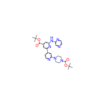 CC(C)(C)OC(=O)c1cc(Nc2cnccn2)nc(-c2ccnc(N3CCN(C(=O)OC(C)(C)C)CC3)c2)c1